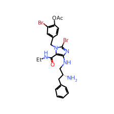 CCNC(=O)c1c(NC[C@H](N)Cc2ccccc2)nc(Br)n1Cc1ccc(OC(C)=O)c(Br)c1